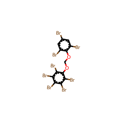 Brc1cc(Br)c(OCOc2c(Br)c(Br)c(Br)c(Br)c2Br)c(Br)c1